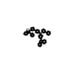 c1ccc(-c2cccc(N(c3ccc(-c4cccc(-c5oc6ccccc6c5-c5ccccc5)c4)cc3)c3ccc(-c4cc5ccccc5c5ccccc45)cc3)c2)cc1